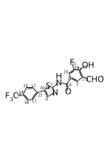 O=Cc1cc(C(=O)Nc2ncc(-c3ccc(C(F)(F)F)cc3)s2)cc(F)c1O